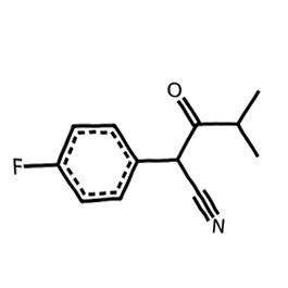 CC(C)C(=O)C(C#N)c1ccc(F)cc1